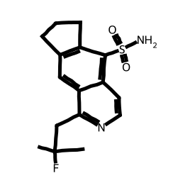 CC(C)(F)Cc1nccc2c(S(N)(=O)=O)c3c(cc12)CCC3